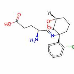 N[C@@H](CCC(=O)O)C1=N[C@@]2(c3ccccc3Cl)CCC[C@@H](O1)C2=O